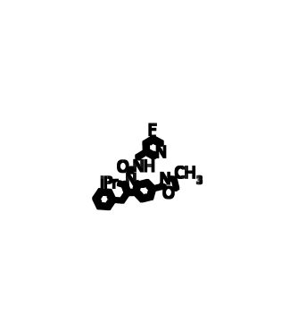 CC(C)c1c(Cc2ccccc2)c2ccc(C3=N[C@H](C)CO3)cc2n1C(=O)NCc1cncc(F)c1